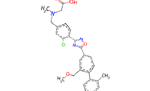 COCc1cc(-c2nc(-c3ccc(CN(C)CC(=O)O)cc3Cl)no2)ccc1-c1ccccc1C